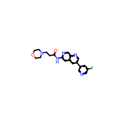 O=C(CCN1CCOCC1)Nc1cc2cc(-c3cncc(F)c3)cnc2cn1